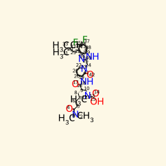 CN(C)C(=O)/C=C/CC[C@@H](CN(C)C(=O)O)C(=O)Nc1cccn(Cc2nc3c(CC(C)(C)C)c(F)c(F)cc3[nH]2)c1=O